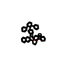 c1ccc(-c2cccc(-c3ccccc3)c2-c2ccc(N(c3ccc4c(c3)oc3ccccc34)c3cc4ccccc4cc3C3CCCCC3)cc2)cc1